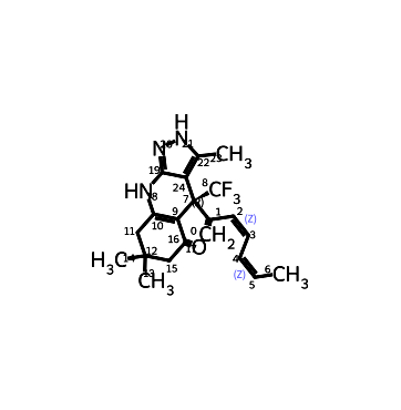 C=C(/C=C\C=C/C)[C@]1(C(F)(F)F)C2=C(CC(C)(C)CC2=O)Nc2n[nH]c(C)c21